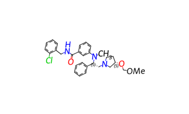 COCO[C@H]1CCN(C[C@H](c2ccccc2)N(C)c2cccc(C(=O)NCc3ccccc3Cl)c2)C1